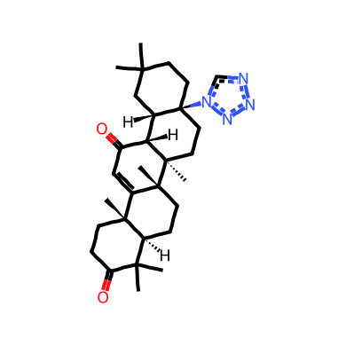 CC1(C)CC[C@]2(n3cnnn3)CC[C@]3(C)[C@H](C(=O)C=C4[C@@]5(C)CCC(=O)C(C)(C)[C@@H]5CC[C@]43C)[C@@H]2C1